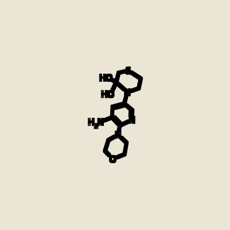 Nc1cc(N2CCSCC2(O)O)cnc1N1CCOCC1